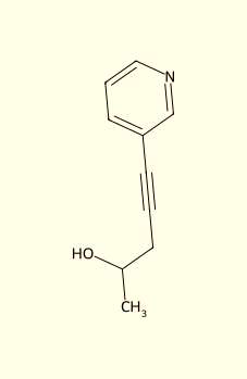 CC(O)CC#Cc1cccnc1